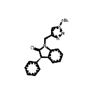 CCCCn1cc(CN2C(=O)[C@H](c3ccccc3)c3ccccc32)nn1